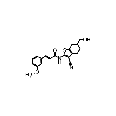 COc1cccc(C=CC(=O)Nc2sc3c(c2C#N)CCC(CO)C3)c1